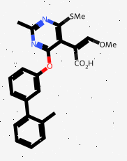 COC=C(C(=O)O)c1c(Oc2cccc(-c3ccccc3C)c2)nc(C)nc1SC